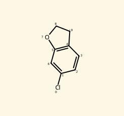 Clc1ccc2c(c1)OC[CH]2